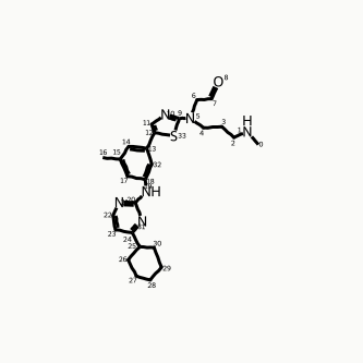 CNCCCN(CC=O)c1ncc(-c2cc(C)cc(Nc3nccc(C4CCCCC4)n3)c2)s1